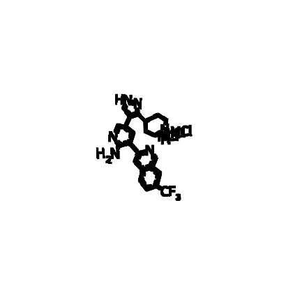 Cl.Cl.Cl.Nc1ncc(-c2c[nH]nc2C2CCNCC2)cc1-c1cc2ccc(C(F)(F)F)cc2cn1